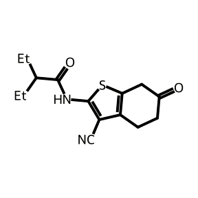 CCC(CC)C(=O)Nc1sc2c(c1C#N)CCC(=O)C2